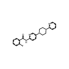 O=C(Nc1ccc(N2CCN(c3ccccn3)CC2)cn1)c1ccccc1F